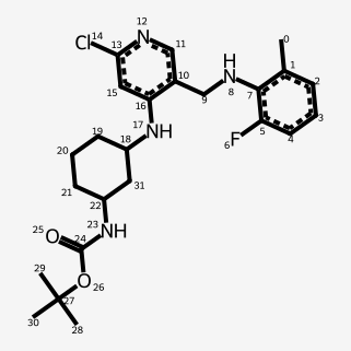 Cc1cccc(F)c1NCc1cnc(Cl)cc1NC1CCCC(NC(=O)OC(C)(C)C)C1